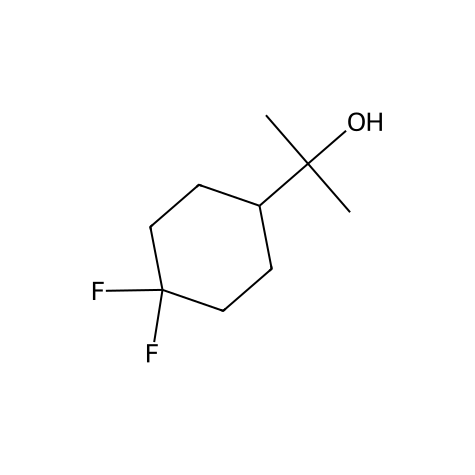 CC(C)(O)C1CCC(F)(F)CC1